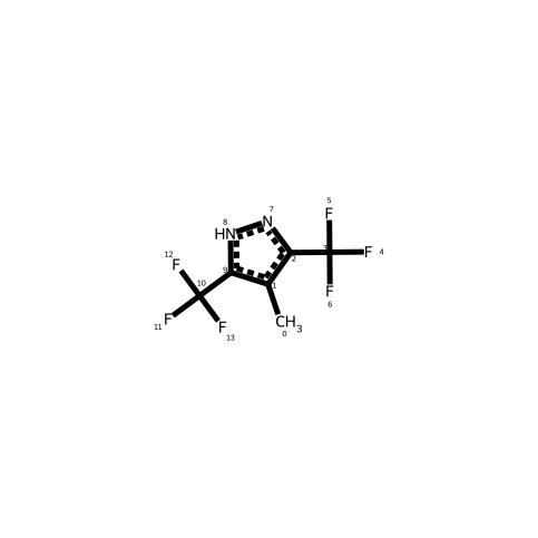 Cc1c(C(F)(F)F)n[nH]c1C(F)(F)F